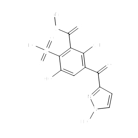 Cc1c(C(=O)c2ccn(C)n2)cc(O)c(S(C)(=O)=O)c1C(=O)OC(C)C